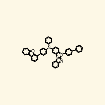 c1ccc(-c2ccc(-n3c4ccc(N(c5ccccc5)c5ccc(-c6cccc7c6oc6ccccc67)cc5)cc4n4c5ccccc5nc34)cc2)cc1